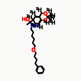 [2H]C1=C2OC(C([2H])[2H])(C([2H])([2H])[2H])OC([2H])C2=C([2H])C([2H])(C(C)(O)NCCCCCCOCCCCc2ccccc2)C1[2H]